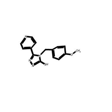 COc1ccc(Cn2c(S)nnc2-c2ccncc2)cc1